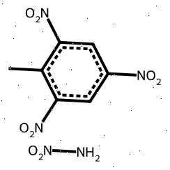 Cc1c([N+](=O)[O-])cc([N+](=O)[O-])cc1[N+](=O)[O-].N[N+](=O)[O-]